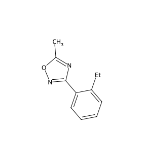 CCc1ccccc1-c1noc(C)n1